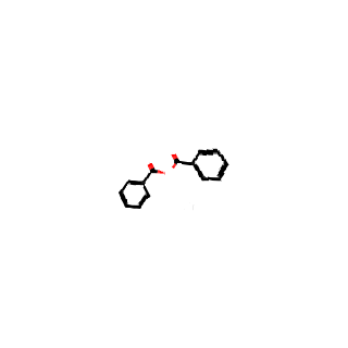 O=C(OC(=O)c1ccccc1)c1ccccc1.[Zr]